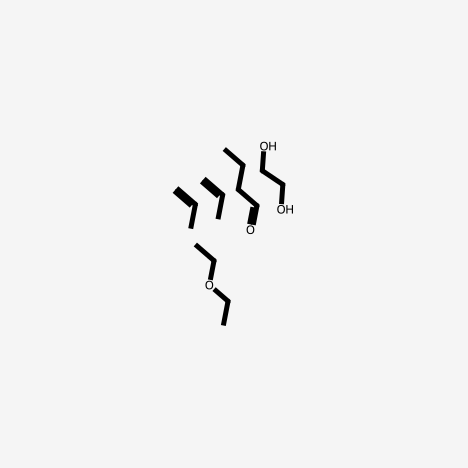 C=CC.C=CC.CCCC=O.CCOCC.OCCO